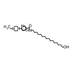 CCN1CCN(c2ccc(C(=O)NCCCCCCCCCCCCCCCCO)cn2)CC1